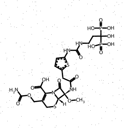 CO[C@@]1(NC(=O)Cc2ccc(NC(=O)NCCC(O)(P(=O)(O)O)P(=O)(O)O)s2)C(=O)N2C(C(=O)O)=C(COC(N)=O)CS[C@H]21